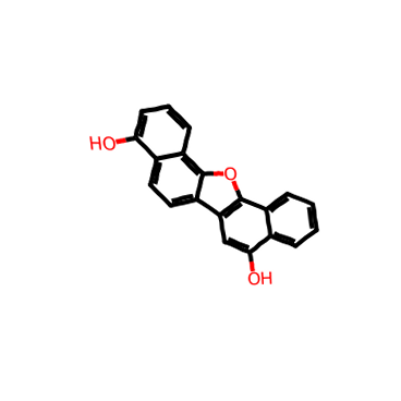 Oc1cccc2c1ccc1c3cc(O)c4ccccc4c3oc21